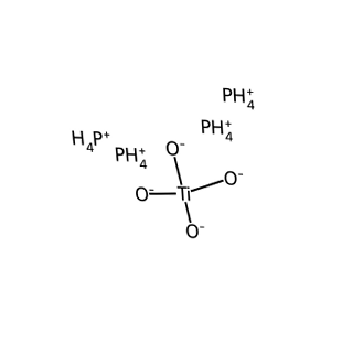 [O-][Ti]([O-])([O-])[O-].[PH4+].[PH4+].[PH4+].[PH4+]